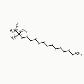 CCCCCCCCCCCCCCC(C)(C)[SiH2]Cl